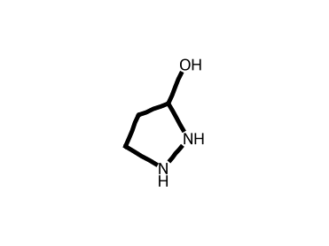 OC1CCNN1